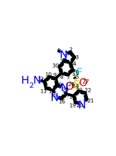 Cn1ccc2c(F)cc(-c3cc(N)cc4ncc(-c5cnccc5S(C)(=O)=O)nc34)cc21